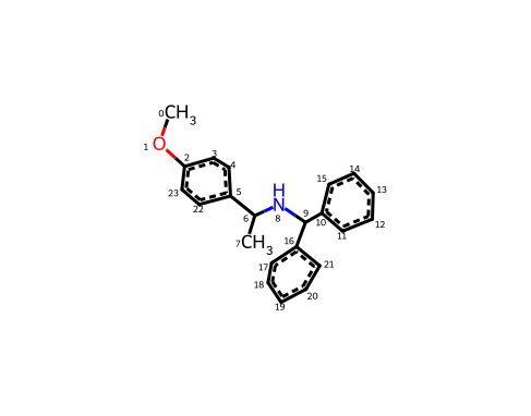 COc1ccc(C(C)NC(c2ccccc2)c2ccccc2)cc1